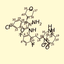 N[C@H](C(=O)Nc1c(F)ccc(F)c1CC[C@H]1CN[C@@H]2CCCS(=O)(=O)N1C2)[C@@H](c1ccc(Cl)cc1)C1CCOCC1